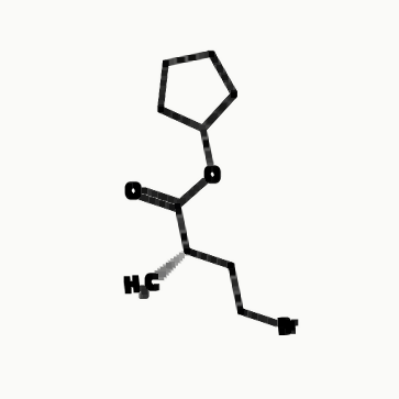 C[C@@H](CCBr)C(=O)OC1CCCC1